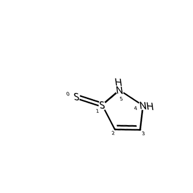 S=S1C=CNN1